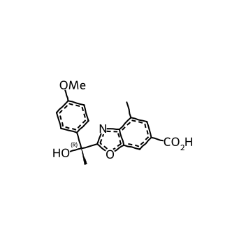 COc1ccc([C@@](C)(O)c2nc3c(C)cc(C(=O)O)cc3o2)cc1